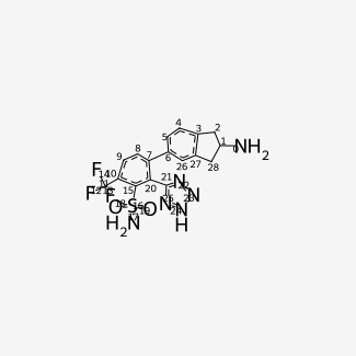 NC1Cc2ccc(-c3ccc(C(F)(F)F)c(S(N)(=O)=O)c3-c3nn[nH]n3)cc2C1